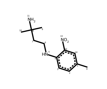 Cc1ccc(NCCC(C)(C)N)c([N+](=O)[O-])c1